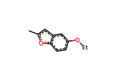 CCOc1ccc2oc(C)cc2c1